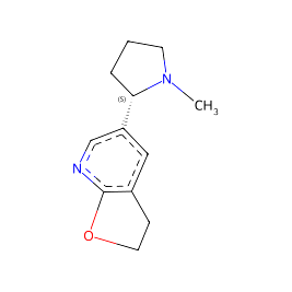 CN1CCC[C@H]1c1cnc2c(c1)CCO2